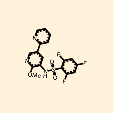 COc1ncc(-c2ccccn2)cc1NS(=O)(=O)c1c(F)cc(F)cc1F